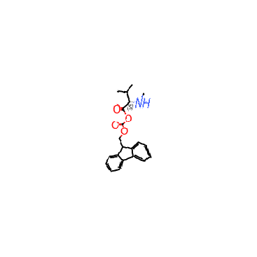 CN[C@H](C(=O)OC(=O)OCC1c2ccccc2-c2ccccc21)C(C)C